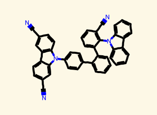 N#Cc1ccc2c(c1)c1ccc(C#N)cc1n2-c1ccc(-c2ccccc2-c2cccc(C#N)c2-n2c3ccccc3c3ccccc32)cc1